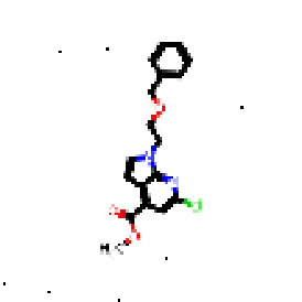 COC(=O)c1cc(Cl)nc2c1ccn2CCOCc1ccccc1